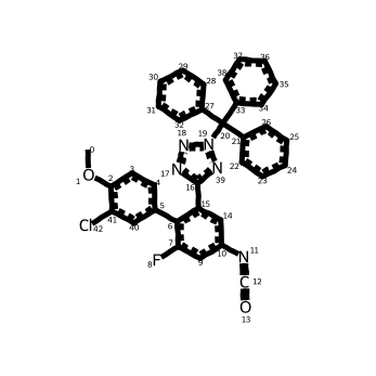 COc1ccc(-c2c(F)cc(N=C=O)cc2-c2nnn(C(c3ccccc3)(c3ccccc3)c3ccccc3)n2)cc1Cl